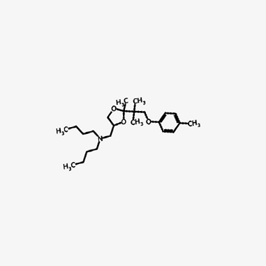 CCCCN(CCCC)CC1COC(C)(C(C)(C)COc2ccc(C)cc2)O1